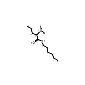 CCCCCCOC(=O)C(CCC)[SiH](C)C